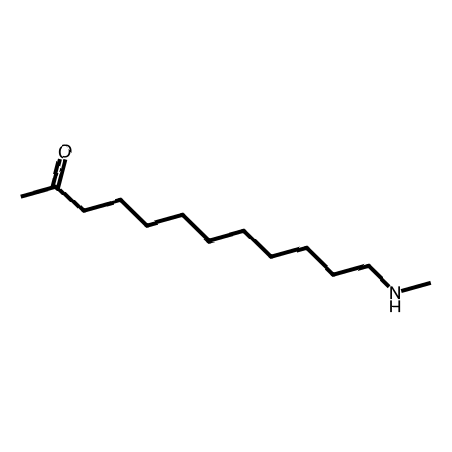 CNCCCCCCCCCCC(C)=O